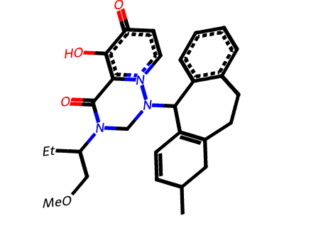 CCC(COC)N1CN(C2C3=C(CCc4ccccc42)CC(C)C=C3)n2ccc(=O)c(O)c2C1=O